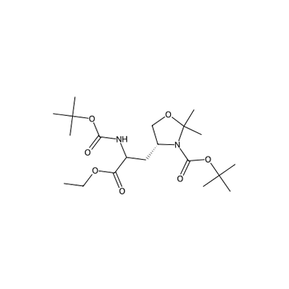 CCOC(=O)C(C[C@@H]1COC(C)(C)N1C(=O)OC(C)(C)C)NC(=O)OC(C)(C)C